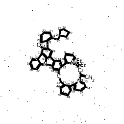 C=C1CC(CC)(CC)[n+]2ccccc2-c2cc3c4cc5c(oc6cccc(CC7CCCC7)c65)c5c6ccccc6n(c3cc2CCc2ccccc2-c2cccc[n+]21)c45